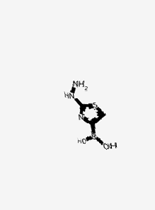 NNc1nc(B(O)O)cs1